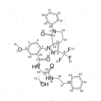 COc1ccc(-n2nc(C(F)(F)F)c3c2C(=O)N(c2ccccc2)CC3)c(C(=O)N[C@@H](CO)C(=O)NCCc2ccccc2)c1